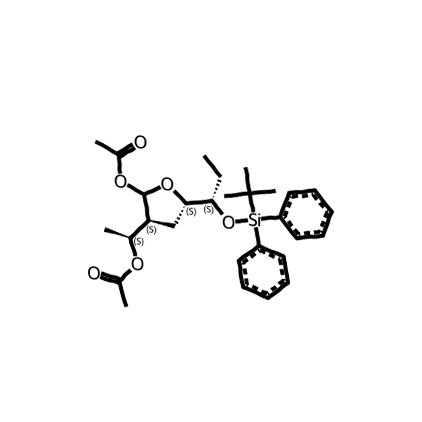 CC[C@H](O[Si](c1ccccc1)(c1ccccc1)C(C)(C)C)[C@@H]1C[C@@H]([C@H](C)OC(C)=O)C(OC(C)=O)O1